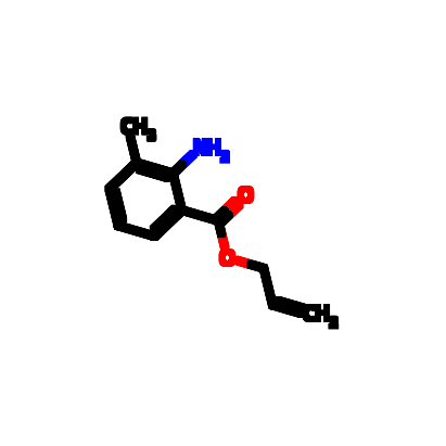 C=CCOC(=O)c1cccc(C)c1N